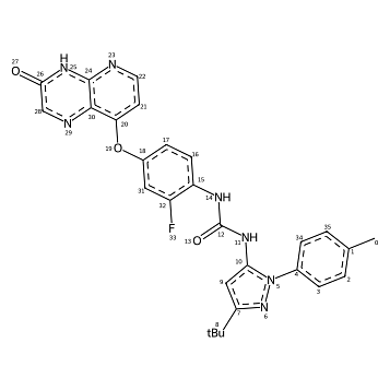 Cc1ccc(-n2nc(C(C)(C)C)cc2NC(=O)Nc2ccc(Oc3ccnc4[nH]c(=O)cnc34)cc2F)cc1